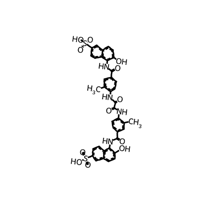 Cc1cc(C(=O)Nc2c(O)ccc3cc(S(=O)(=O)O)ccc23)ccc1NC(=O)C(=O)Nc1ccc(C(=O)Nc2c(O)ccc3cc(S(=O)(=O)O)ccc23)cc1C